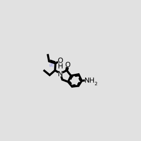 C/C=C(\O)C(CC)N1Cc2ccc(N)cc2C1=O